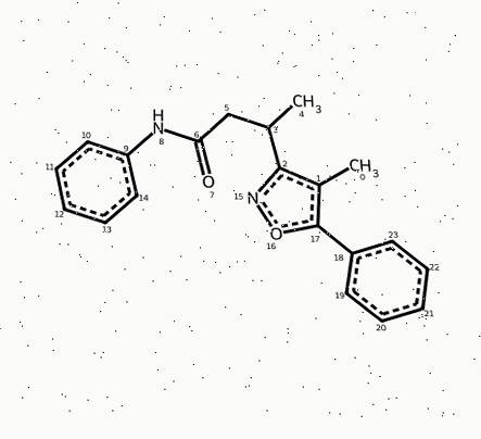 Cc1c(C(C)CC(=O)Nc2ccccc2)noc1-c1ccccc1